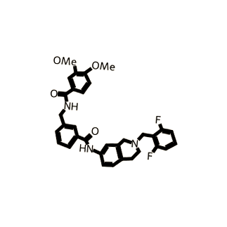 COc1ccc(C(=O)NCc2cccc(C(=O)Nc3ccc4c(c3)CN(Cc3c(F)cccc3F)CC4)c2)cc1OC